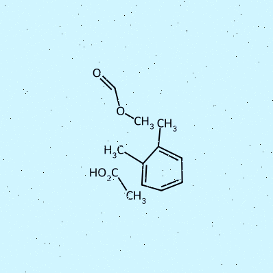 CC(=O)O.COC=O.Cc1ccccc1C